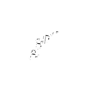 N#Cc1ccc(N2CCc3c(ncnc3Nc3ccc(NC(=O)CC(F)(F)F)cn3)C2)cc1C(F)(F)F